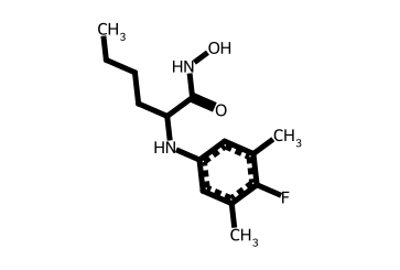 CCCCC(Nc1cc(C)c(F)c(C)c1)C(=O)NO